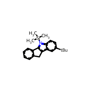 CC(C)(C)c1ccc2c(c1)c1c(n2[Si](C)(C)C)-c2ccccc2C1